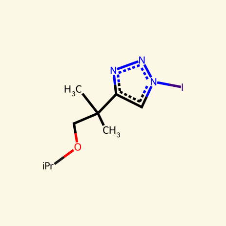 CC(C)OCC(C)(C)c1cn(I)nn1